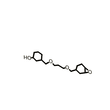 OC1CCCC(COCCCOCC2CCC3OC3C2)C1